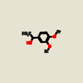 CCOc1cc(C(O)C(=O)O)ccc1OC(C)C